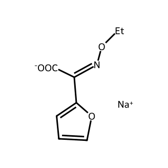 CCO/N=C(\C(=O)[O-])c1ccco1.[Na+]